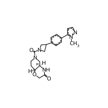 Cn1nccc1-c1ccc(C2CN(C(=O)N3CC[C@@H]4OCC(=O)N[C@@H]4C3)C2)cc1